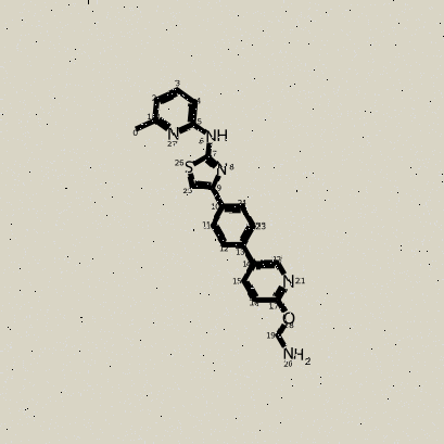 Cc1cccc(Nc2nc(-c3ccc(-c4ccc(OCN)nc4)cc3)cs2)n1